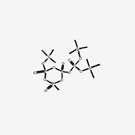 C[Si](C)(C)OP(=O)(O[Si](C)(C)C)OP1(=O)OP(C)(=O)OP(=O)(O[Si](C)(C)C)O1